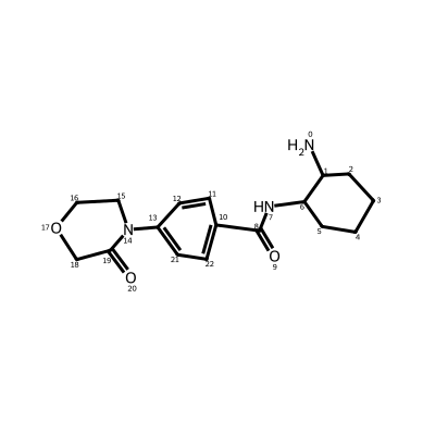 NC1CCCCC1NC(=O)c1ccc(N2CCOCC2=O)cc1